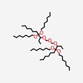 CCCCCCCOC(CCCCCC)(OCCCCCCC)C(CC)OCOCOC(CC)C(CCCCCC)(OCCCCCCC)OCCCCCCC